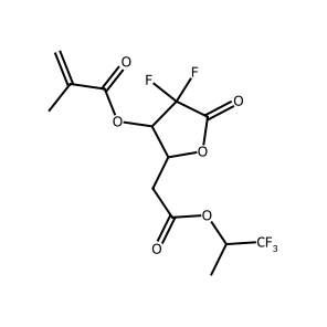 C=C(C)C(=O)OC1C(CC(=O)OC(C)C(F)(F)F)OC(=O)C1(F)F